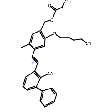 Cc1cc(COC(=O)CN)c(OCCCCC#N)cc1/C=C/c1cccc(-c2ccccc2)c1C#N